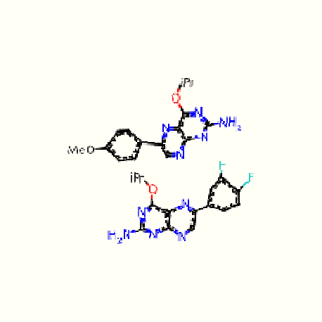 CC(C)Oc1nc(N)nc2ncc(-c3ccc(F)c(F)c3)nc12.COc1ccc(-c2cnc3nc(N)nc(OC(C)C)c3n2)cc1